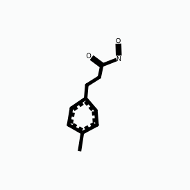 Cc1ccc(CCC(=O)N=O)cc1